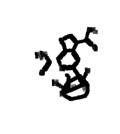 C[C@H]1[C@H](c2cc3c(C(N)=O)csc3cn2)C2CCN1CC2.NC=O